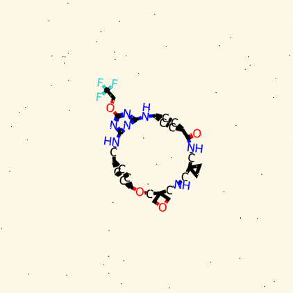 O=C1NCC2(CC2)CNCC2(COC2)COc2ccc(cc2)CNc2nc(nc(OCC(F)(F)F)n2)Nc2ccc1cc2